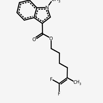 CC(CCCCOC(=O)c1cn(C)c2ccccc12)=C(F)F